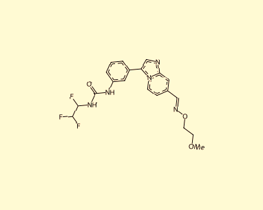 COCCON=Cc1ccn2c(-c3cccc(NC(=O)NC(F)C(F)F)c3)cnc2c1